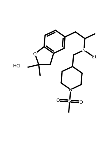 CCN(CC1CCN(S(C)(=O)=O)CC1)C(C)Cc1ccc2c(c1)CC(C)(C)O2.Cl